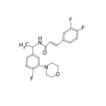 CC(NC(=O)C=Cc1ccc(F)c(F)c1)c1ccc(F)c(N2CCOCC2)c1